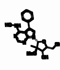 CO[C@]1(C)C(O)C(CO)O[C@H]1n1cc(-c2ccccc2)c2c(NO)ncnc21